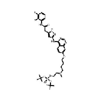 CN(CCCCOc1ccc2c(Nc3cc(CC(=O)Nc4cccc(F)c4F)[nH]n3)ncnc2c1)CCOP(=O)(OC(C)(C)C)OC(C)(C)C